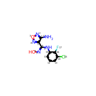 Nc1nonc1/C(=N\O)Nc1cccc(Cl)c1F